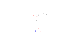 COC(=O)c1ccc2c(c1)CC/C(=C\C1CCCC1)C2=O